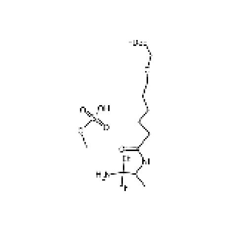 CCCCCCCCCCCCCCCCCC(=O)NC(C)C(N)(CC)CC.COS(=O)(=O)O